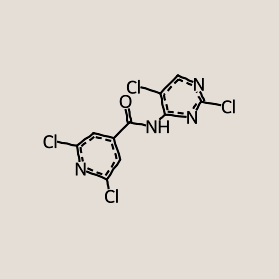 O=C(Nc1nc(Cl)ncc1Cl)c1cc(Cl)nc(Cl)c1